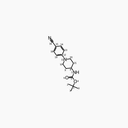 CC(C)(C)OC(=O)NC1CCN(c2ccc(C#N)cc2)CC1